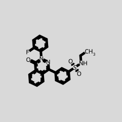 CCNS(=O)(=O)c1cccc(-c2nn(-c3ccccc3F)c(=O)c3ccccc23)c1